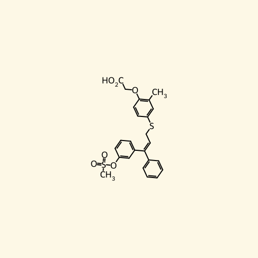 Cc1cc(SCC=C(c2ccccc2)c2cccc(OS(C)(=O)=O)c2)ccc1OCC(=O)O